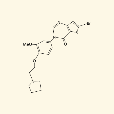 COc1cc(-n2cnc3cc(Br)sc3c2=O)ccc1OCCN1CCCC1